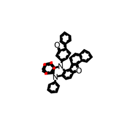 c1ccc(N(c2ccccc2)c2ccc3oc4c5ccccc5ccc4c3c2N(c2ccccc2)c2ccc3c(c2)oc2ccccc23)cc1